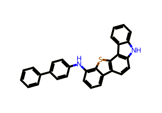 c1ccc(-c2ccc(Nc3cccc4c3sc3c4ccc4[nH]c5ccccc5c43)cc2)cc1